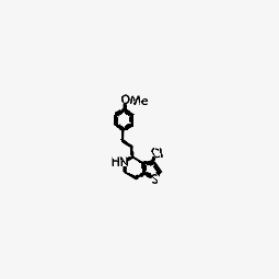 COc1ccc(CCC2NCCc3scc(Cl)c32)cc1